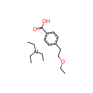 CCOCCc1ccc(C(=O)O)cc1.C[CH2][Al]([CH2]C)[CH2]C